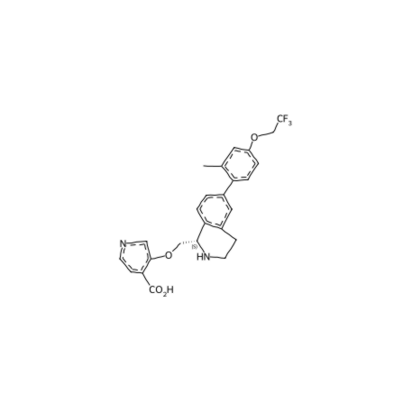 Cc1cc(OCC(F)(F)F)ccc1-c1ccc2c(c1)CCN[C@@H]2COc1cnccc1C(=O)O